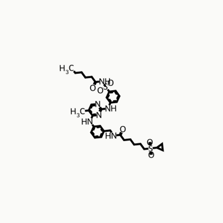 CCCCCC(=O)NS(=O)(=O)c1cccc(Nc2ncc(C)c(Nc3cccc(CNC(=O)CCCCCS(=O)(=O)C4CC4)c3)n2)c1